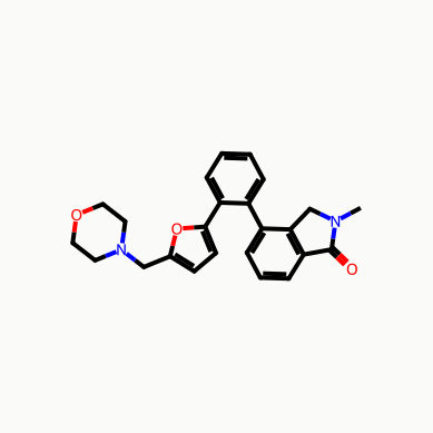 CN1Cc2c(cccc2-c2ccccc2-c2ccc(CN3CCOCC3)o2)C1=O